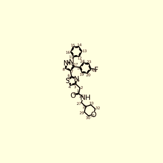 O=C(Cc1csc(-c2cnn(-c3ccccc3)c2-c2ccc(F)cc2)n1)NCC1CCOCC1